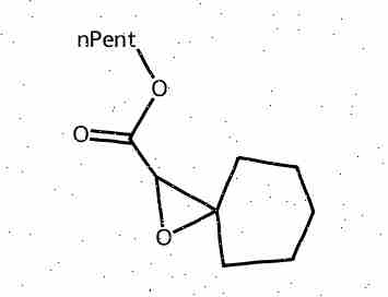 CCCCCOC(=O)C1OC12CCCCC2